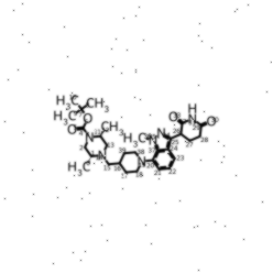 C[C@@H]1CN(C(=O)OC(C)(C)C)[C@@H](C)CN1CC1CCN(c2cccc3c(C4CCC(=O)NC4=O)nn(C)c23)CC1